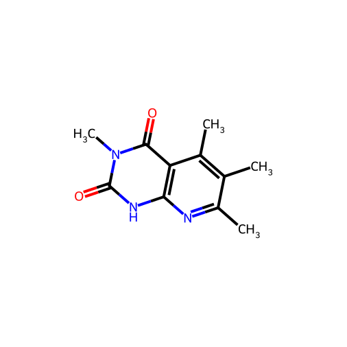 Cc1nc2[nH]c(=O)n(C)c(=O)c2c(C)c1C